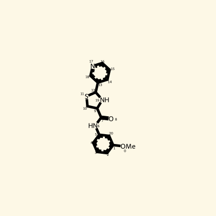 COc1cccc(NC(=O)C2CSC(c3cccnc3)N2)c1